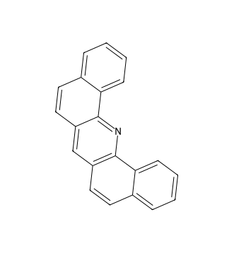 c1ccc2c(c1)ccc1cc3ccc4ccccc4c3nc12